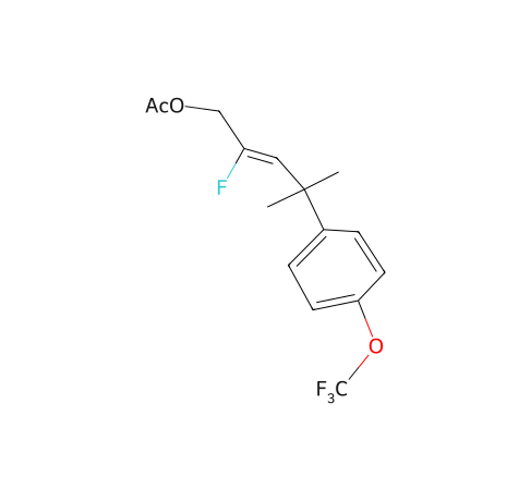 CC(=O)OCC(F)=CC(C)(C)c1ccc(OC(F)(F)F)cc1